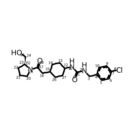 O=C(NCc1ccc(Cl)cc1)NC1CCC(CC(=O)N2CCC[C@H]2CO)CC1